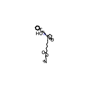 CN(C)CCOC(=O)CCCCCCN1C(=O)CC[C@@H]1/C=C/[C@@H](O)Cc1ccccc1